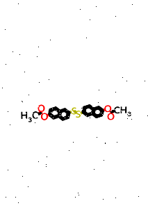 CC(=O)Oc1ccc2cc(SSc3ccc4cc(OC(C)=O)ccc4c3)ccc2c1